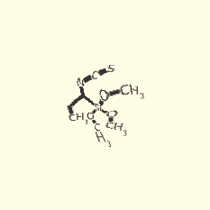 CCC(N=C=S)[Si](OC)(OC)OC